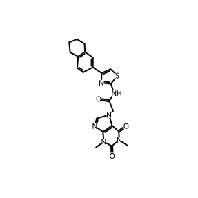 Cn1c(=O)c2c(ncn2CC(=O)Nc2nc(-c3ccc4c(c3)CCCC4)cs2)n(C)c1=O